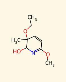 CCOC1(C)C=CC(OC)=NC1O